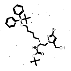 CC(C)(C)OC(=O)N[C@H](CCCCCO[Si](c1ccccc1)(c1ccccc1)C(C)(C)C)Cn1nc(Br)cc1CO